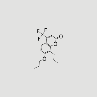 CCCOc1ccc2c(C(F)(F)F)cc(=O)oc2c1CCC